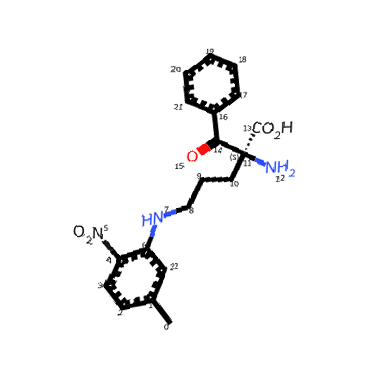 Cc1ccc([N+](=O)[O-])c(NCCC[C@@](N)(C(=O)O)C(=O)c2ccccc2)c1